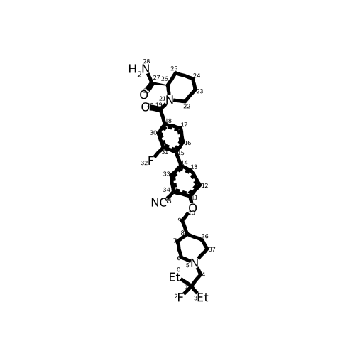 CCC(F)(CC)CN1CCC(COc2ccc(-c3ccc(C(=O)N4CCCC[C@@H]4C(N)=O)cc3F)cc2C#N)CC1